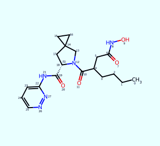 CCCCC(CC(=O)NO)C(=O)N1CC2(CC2)C[C@H]1C(=O)Nc1cccnn1